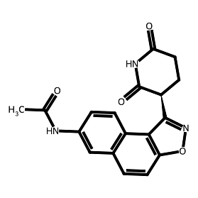 CC(=O)Nc1ccc2c(ccc3onc([C@@H]4CCC(=O)NC4=O)c32)c1